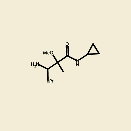 CCCC(N)C(C)(OC)C(=O)NC1CC1